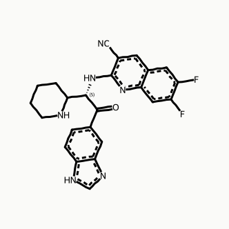 N#Cc1cc2cc(F)c(F)cc2nc1N[C@H](C(=O)c1ccc2[nH]cnc2c1)C1CCCCN1